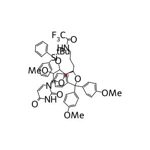 COc1ccc(C(OC(CCCNC(=O)C(F)(F)F)[C@H]2O[C@@H](n3ccc(=O)[nH]c3=O)C(OC)C2O[Si](c2ccccc2)(c2ccccc2)C(C)(C)C)(c2ccccc2)c2ccc(OC)cc2)cc1